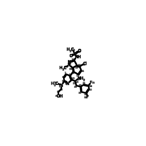 CN(CCO)c1ccc(-c2ccc(Cl)c3c(NS(C)(=O)=O)nn(C)c23)c([C@@H](N)Cc2cc(F)cc(F)c2)n1